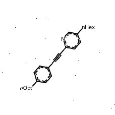 CCCCCCCCc1ccc(C#Cc2ccc(CCCCCC)cn2)cc1